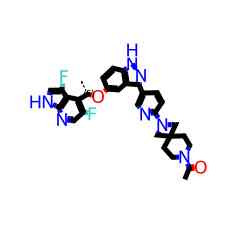 CC(=O)N1CCC2(CC1)CN(c1ccc(-c3n[nH]c4ccc(O[C@@H](C)c5c(F)cnc6[nH]cc(F)c56)cc34)cn1)C2